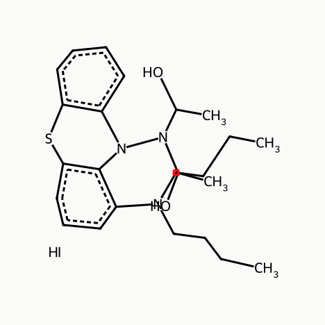 CCCCN(CCCC)c1cccc2c1N(N(C(C)O)C(C)O)c1ccccc1S2.I